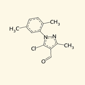 Cc1ccc(C)c(-n2nc(C)c(C=O)c2Cl)c1